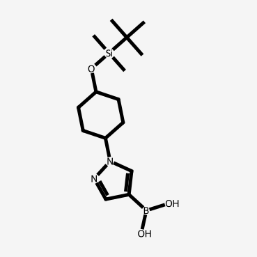 CC(C)(C)[Si](C)(C)OC1CCC(n2cc(B(O)O)cn2)CC1